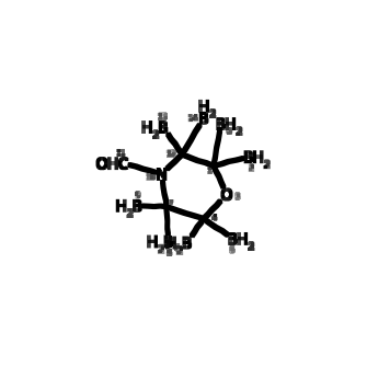 BC1(B)OC(B)(B)C(B)(B)N(C=O)C1(B)B